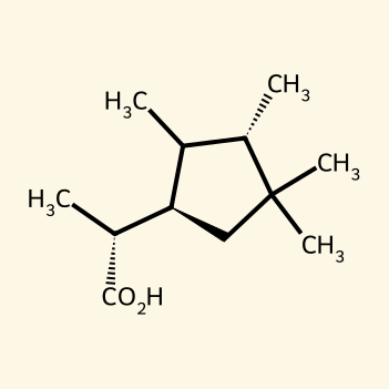 CC1[C@H]([C@@H](C)C(=O)O)CC(C)(C)[C@H]1C